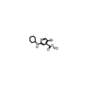 O=NOC(=O)c1cc(NC2CCCCC2)ncc1Br